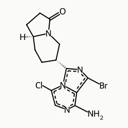 Nc1ncc(Cl)n2c([C@@H]3CC[C@H]4CCC(=O)N4C3)nc(Br)c12